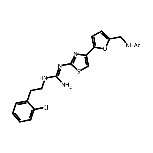 CC(=O)NCc1ccc(-c2csc(/N=C(\N)NCCc3ccccc3Cl)n2)o1